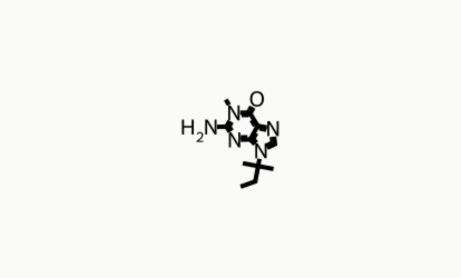 CCC(C)(C)n1cnc2c(=O)n(C)c(N)nc21